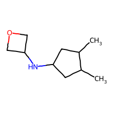 CC1CC(NC2COC2)CC1C